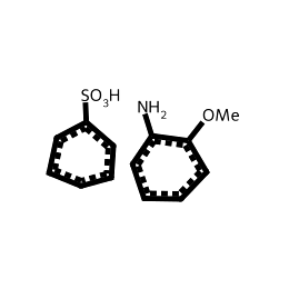 COc1ccccc1N.O=S(=O)(O)c1ccccc1